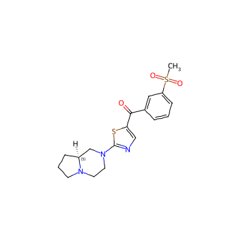 CS(=O)(=O)c1cccc(C(=O)c2cnc(N3CCN4CCC[C@H]4C3)s2)c1